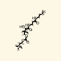 CC(=O)SCCNC(=O)CCNC(=O)C(O)C(C)(C)COC(=O)OCC[N+](C)(C)C